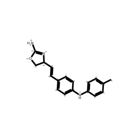 Cc1ccc(Nc2ccc(C=CC3COC(N)=N3)cc2)cc1